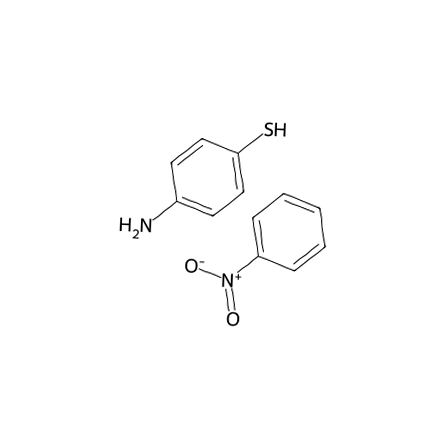 Nc1ccc(S)cc1.O=[N+]([O-])c1ccccc1